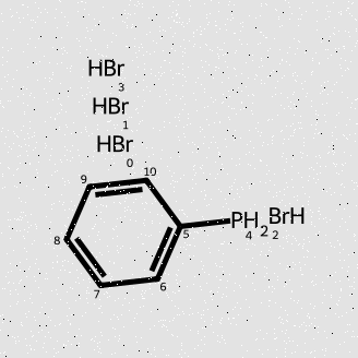 Br.Br.Br.Br.Pc1ccccc1